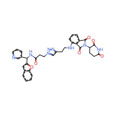 O=C1CCC(N2C(=O)c3cccc(NCCc4cn(CCC(=O)NC(c5cccnc5)c5cc6ccccc6o5)nn4)c3C2=O)C(=O)N1